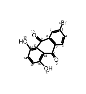 O=C1c2ccc(Br)cc2C(=O)c2c(O)ccc(O)c21